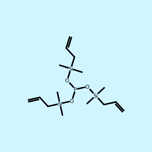 C=CC[Si](C)(C)OP(O[Si](C)(C)CC=C)O[Si](C)(C)CC=C